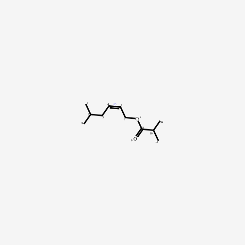 CC(C)C/C=C\COC(=O)C(C)C